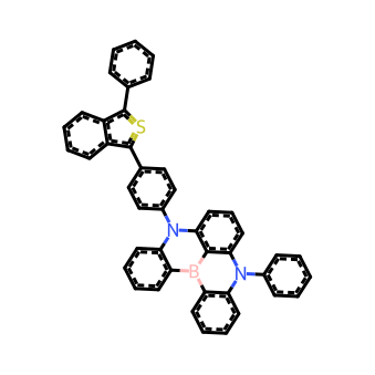 c1ccc(-c2sc(-c3ccc(N4c5ccccc5B5c6ccccc6N(c6ccccc6)c6cccc4c65)cc3)c3ccccc23)cc1